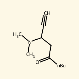 C#CC(CC(=O)CCCC)N(C)C